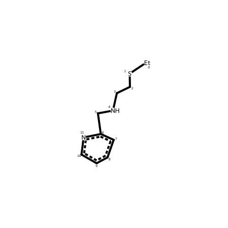 CCSCCNCc1ccccn1